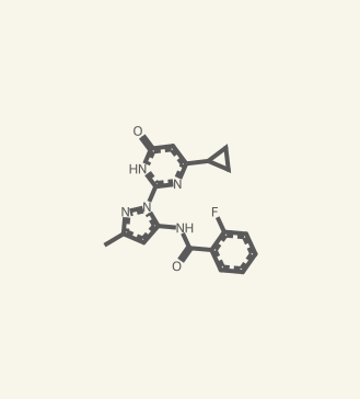 Cc1cc(NC(=O)c2ccccc2F)n(-c2nc(C3CC3)cc(=O)[nH]2)n1